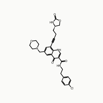 O=C1N[C@H](CCC#Cc2cc(CN3CCOCC3)cc3c(=O)c(C(=O)NCCc4ccc(Cl)cc4)c[nH]c23)CO1